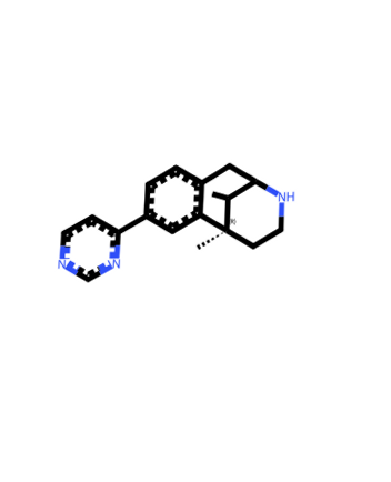 CC1C2Cc3ccc(-c4ccncn4)cc3[C@]1(C)CCN2